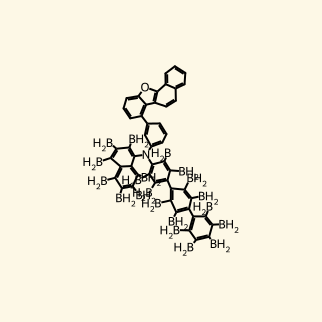 Bc1c(B)c(B)c(-c2c(B)c(B)c(-c3c(B)c(B)c(N(c4cccc(-c5cccc6oc7c8ccccc8ccc7c56)c4)c4c(B)c(B)c(B)c5c(B)c(B)c(B)c(B)c45)c(B)c3B)c(B)c2B)c(B)c1B